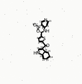 O=C(c1ccc(CNc2ccncc2[N+](=O)[O-])s1)c1c[nH]c2ccccc12